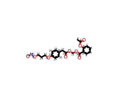 CC(=O)Oc1ccccc1C(=O)OCOC(=O)Cc1ccc(OCCCON=O)cc1